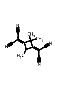 CC1C(=C(C#N)C#N)C(C)(C)C1=C(C#N)C#N